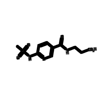 CS(=O)(=O)Nc1ccc(C(=O)NCCC(=O)O)cn1